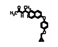 CC(=O)NC(C)c1cc2ccc(Oc3ccc(OCC4CC4)cc3)cc2cn1